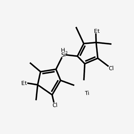 CCC1(C)C(C)=C([SiH2]C2=C(C)C(C)(CC)C(Cl)=C2C)C(C)=C1Cl.[Ti]